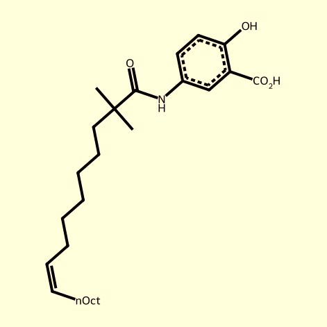 CCCCCCCC/C=C\CCCCCCC(C)(C)C(=O)Nc1ccc(O)c(C(=O)O)c1